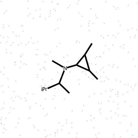 CC(C)C(C)N(C)C1C(C)C1C